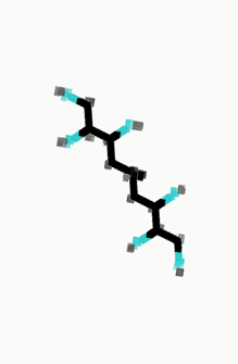 FCC(F)C(F)[CH2][Sn][CH2]C(F)C(F)CF